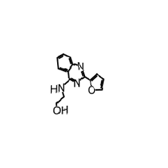 OCCNc1nc(-c2ccco2)nc2ccccc12